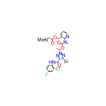 CNCC(=O)OCc1cccnc1N(C)C(=O)OC(C)n1nc(Br)c(C(=O)Nc2ccc(F)cc2Cl)n1